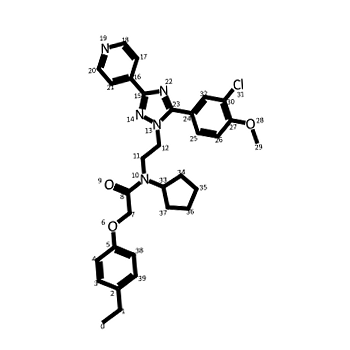 CCc1ccc(OCC(=O)N(CCn2nc(-c3ccncc3)nc2-c2ccc(OC)c(Cl)c2)C2CCCC2)cc1